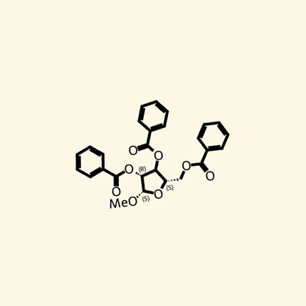 CO[C@H]1O[C@@H](COC(=O)c2ccccc2)C(OC(=O)c2ccccc2)[C@H]1OC(=O)c1ccccc1